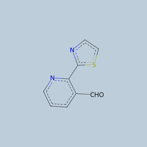 O=Cc1cccnc1-c1nccs1